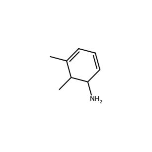 CC1=CC=CC(N)C1C